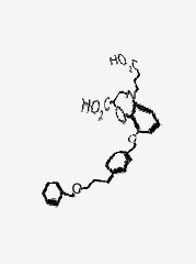 O=C(O)CCCN1CC(C(=O)O)Oc2c(OCc3ccc(CCCOCc4ccccc4)cc3)cccc21